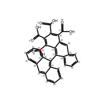 O=C(O)c1c(C(=O)O)c(C(=O)O)c2c(-c3c4ccccc4cc4ccccc34)c3ccccc3cc2c1C(=O)O